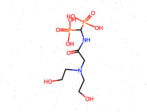 O=C(CN(CCO)CCO)NC(P(=O)(O)O)P(=O)(O)O